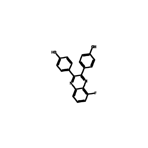 Oc1ccc(-c2nc3cccc(F)c3nc2-c2ccc(O)cc2)cc1